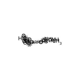 CNc1ccc(-c2nc3ccc(OCCCCCCOc4cccc5c4C(=O)N(C4CCC(=O)NC4=O)C5=O)cc3s2)cc1